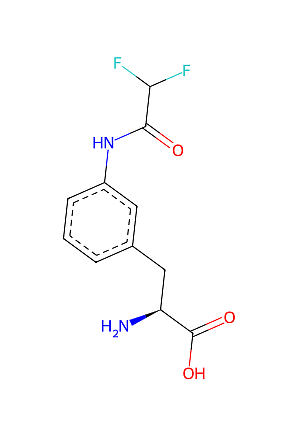 N[C@@H](Cc1cccc(NC(=O)C(F)F)c1)C(=O)O